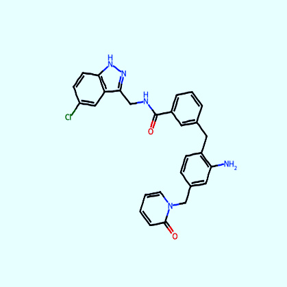 Nc1cc(Cn2ccccc2=O)ccc1Cc1cccc(C(=O)NCc2n[nH]c3ccc(Cl)cc23)c1